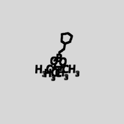 CC1(C)OB(CCC2CCCCC2)OC1(C)C